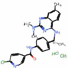 Cc1ccc2c(N[C@H](C)c3ccc(NC(=O)c4ccc(Cl)nc4)cc3)nc(N(C)C)nc2c1.Cl.Cl